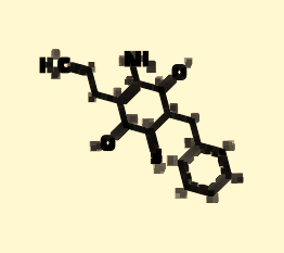 C=CCC1=C(N)C(=O)C(Cc2ccccc2)C(=S)C1=O